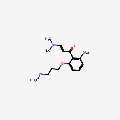 COc1cccc(OCCCNC(=O)O)c1C(=O)/C=C/N(C)C